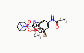 CC(=O)Nc1cc(Br)c2oc(N3CC4CC(C3)N4C(=O)OC(C)(C)C)nc2c1